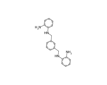 Nc1ccccc1NCc1cccc(CNc2ccccc2N)c1